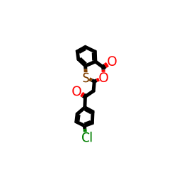 O=C(CC1OC(=O)c2ccccc2S1)c1ccc(Cl)cc1